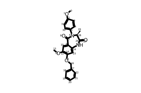 COc1ccc(N2C(=O)c3cc(OC)c(OCc4ccccc4)cc3NC(=O)[C@@H]2C)cc1